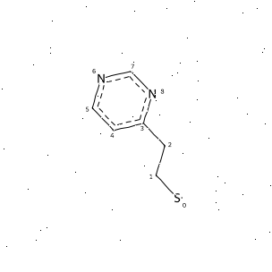 [S]CCc1ccncn1